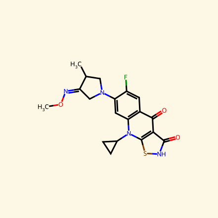 CO/N=C1\CN(c2cc3c(cc2F)c(=O)c2c(=O)[nH]sc2n3C2CC2)CC1C